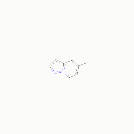 Cc1ccn2n[c]cc2c1